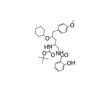 COc1ccc(CC(CC(CNC(=O)c2ccccc2O)NC(=O)OC(C)(C)C)OC2CCCCC2)cc1